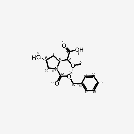 COC(C(=O)O)[C@@H]1C[C@@H](O)CN1C(=O)OCc1ccccc1